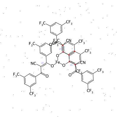 N#C/C(C(=O)c1cc(C(F)(F)F)cc(C(F)(F)F)c1)=C(/[O][Fe]([O]/C(=C(/C#N)C(=O)c1cc(C(F)(F)F)cc(C(F)(F)F)c1)c1cc(C(F)(F)F)cc(C(F)(F)F)c1)[O]/C(=C(/C#N)C(=O)c1cc(C(F)(F)F)cc(C(F)(F)F)c1)c1cc(C(F)(F)F)cc(C(F)(F)F)c1)c1cc(C(F)(F)F)cc(C(F)(F)F)c1